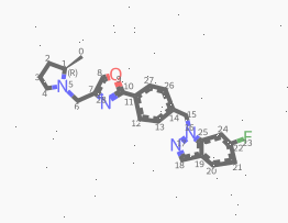 C[C@@H]1CCCN1Cc1coc(-c2ccc(Cn3ncc4ccc(F)cc43)cc2)n1